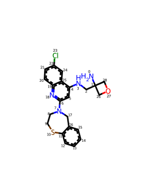 NC1(CNc2cc(N3CCSc4ccccc4C3)nc3ccc(Cl)cc23)COC1